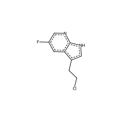 Fc1cnc2[nH]cc(CCCl)c2c1